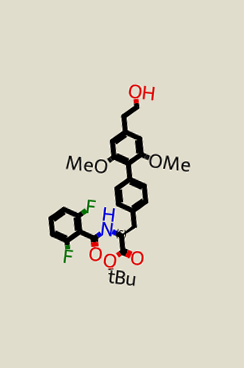 COc1cc(CCO)cc(OC)c1-c1ccc(C[C@H](NC(=O)c2c(F)cccc2F)C(=O)OC(C)(C)C)cc1